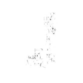 N#CC1(C2(Cc3cccc(-c4nccc(OCC5CCN(Cc6cn(C7CCC(=O)NC7=O)nn6)CC5)n4)c3)C=CC(=O)NN2)C=CC=CC1